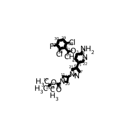 CC(Oc1cc(-c2cnn(C3CN(C(=O)OC(C)(C)C)C3)c2)cnc1N)c1c(Cl)ccc(F)c1Cl